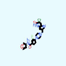 O=C(N[C@H]1CCOC1)c1ccc(N2CCN(Cc3cnc4cc(Cl)c(=O)[nH]c4c3)CC2)c(F)c1